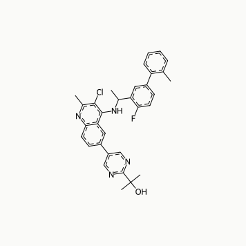 Cc1ccccc1-c1ccc(F)c(C(C)Nc2c(Cl)c(C)nc3ccc(-c4cnc(C(C)(C)O)nc4)cc23)c1